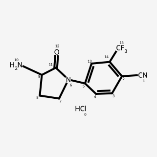 Cl.N#Cc1ccc(N2CCC(N)C2=O)cc1C(F)(F)F